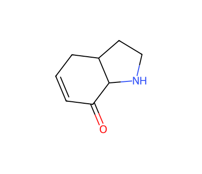 O=C1C=CCC2CCNC12